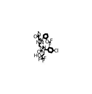 COC(=O)c1nc(Cn2nc(-c3ccc(Cl)cc3)n(CC(O)C(F)(F)F)c2=O)nn1-c1ccccc1OC(F)F